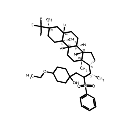 CCOC1CCC(O)(CC([C@@H](C)[C@H]2CC[C@H]3[C@@H]4CC[C@H]5C[C@](O)(C(F)(F)F)CC[C@]5(C)[C@H]4CC[C@]23C)S(=O)(=O)c2ccccc2)CC1